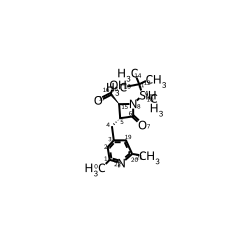 Cc1cc(C[C@H]2C(=O)N([SiH](C)C(C)(C)C)[C@@H]2C(=O)O)cc(C)n1